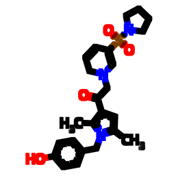 Cc1cc(C(=O)CN2C=C(S(=O)(=O)N3CCCC3)C=CC2)c(C)n1Cc1ccc(O)cc1